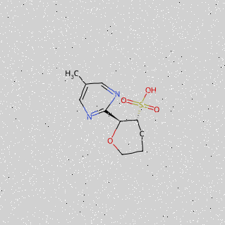 Cc1cnc([C@@H]2OCCC[C@H]2S(=O)(=O)O)nc1